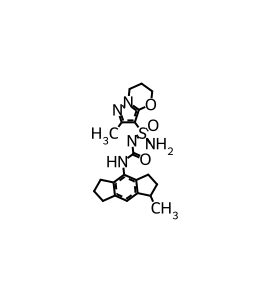 Cc1nn2c(c1S(N)(=O)=NC(=O)Nc1c3c(cc4c1CCC4C)CCC3)OCCC2